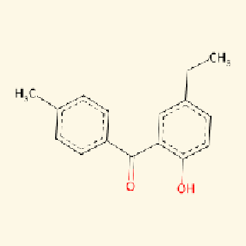 CCc1ccc(O)c(C(=O)c2ccc(C)cc2)c1